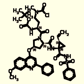 C=C[C@@H]1C[C@]1(NC(=O)[C@@H]1C[C@@H](Oc2cc(-c3ccccc3)nc3cc(OC)ccc23)CN1C(=O)[C@H](CCN(C)C(=O)Cl)NC(=O)OC(C)(C)C)C(=O)NS(=O)(=O)c1ccccc1